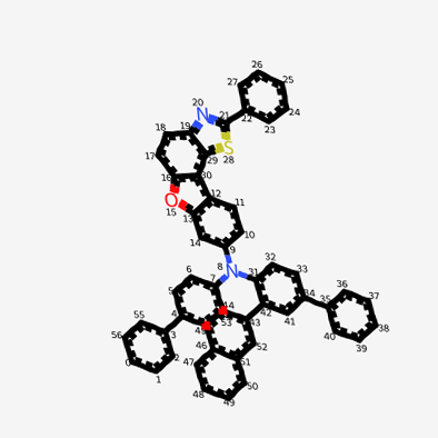 c1ccc(-c2ccc(N(c3ccc4c(c3)oc3ccc5nc(-c6ccccc6)sc5c34)c3ccc(-c4ccccc4)cc3-c3ccc4ccccc4c3)cc2)cc1